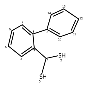 SC(S)c1ccccc1-c1ccccc1